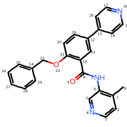 Cc1ccncc1NC(=O)c1cc(-c2ccncc2)ccc1OCc1ccccc1